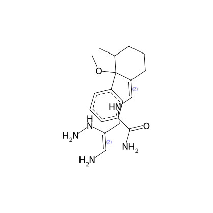 COC1(c2cccc(C(N)=O)c2)/C(=C\NC/C(=C/N)NN)CCCC1C